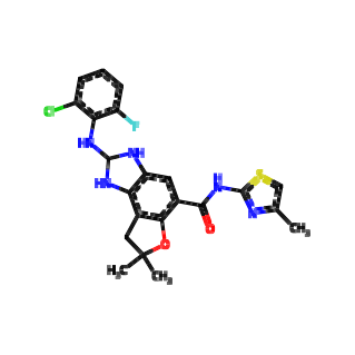 Cc1csc(NC(=O)c2cc3c(c4c2OC(C)(C)C4)NC(Nc2c(F)cccc2Cl)N3)n1